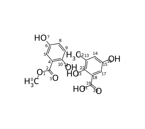 COC(=O)c1cc(O)ccc1O.Cc1cc(O)cc(C(=O)O)c1O